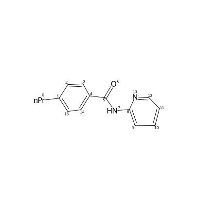 CCCc1ccc(C(=O)Nc2ccccn2)cc1